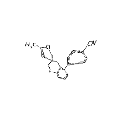 CC1=NC2(CCc3cccc(-c4ccc(C#N)cc4)c3C2)CO1